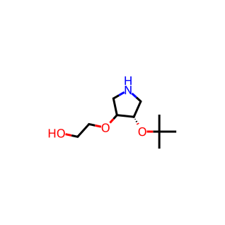 CC(C)(C)O[C@H]1CNCC1OCCO